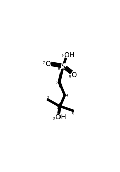 [CH2]C(C)(O)CCS(=O)(=O)O